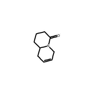 O=C1CCCC2CC=CCN12